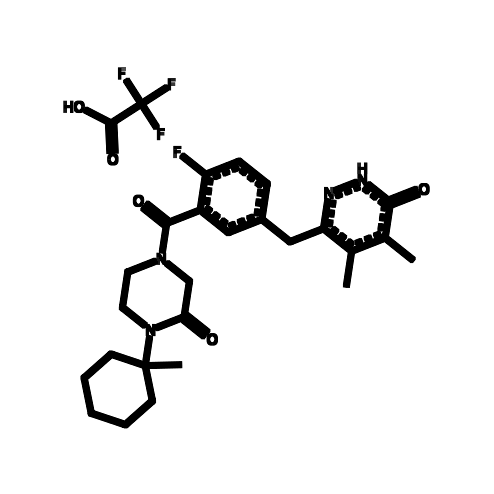 Cc1c(Cc2ccc(F)c(C(=O)N3CCN(C4(C)CCCCC4)C(=O)C3)c2)n[nH]c(=O)c1C.O=C(O)C(F)(F)F